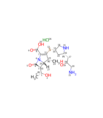 C[C@@H](O)[C@H]1C(=O)N2C(C(=O)O)=C(S[C@@H]3CN[C@H](CC(O)CN)C3)[C@H](C)[C@H]12.Cl